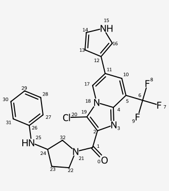 O=C(c1nc2c(C(F)(F)F)cc(-c3cc[nH]c3)cn2c1Cl)N1CCC(Nc2ccccc2)C1